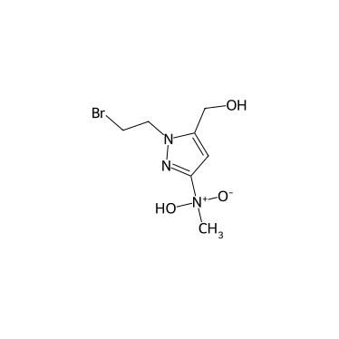 C[N+]([O-])(O)c1cc(CO)n(CCBr)n1